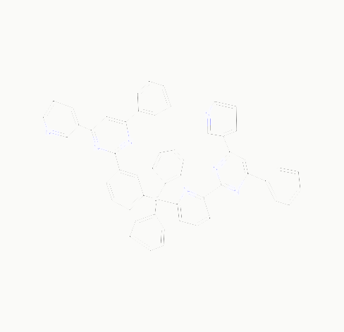 c1ccc(-c2cc(-c3cccnc3)nc(-c3cccc([Si](c4ccccc4)(c4ccccc4)c4cccc(-c5nc(-c6ccccc6)cc(-c6cccnc6)n5)n4)c3)n2)cc1